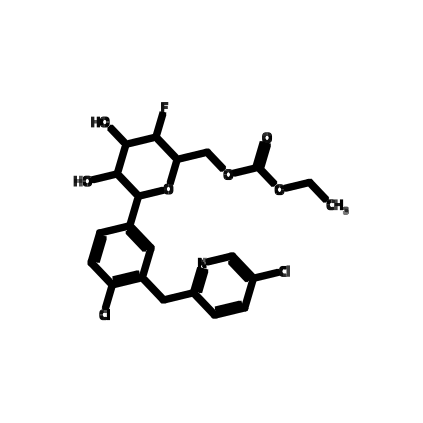 CCOC(=O)OCC1OC(c2ccc(Cl)c(Cc3ccc(Cl)cn3)c2)C(O)C(O)C1F